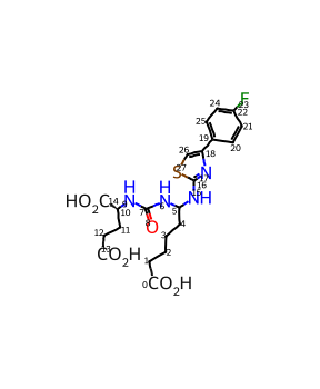 O=C(O)CCCCC(NC(=O)N[C@@H](CCC(=O)O)C(=O)O)Nc1nc(-c2ccc(F)cc2)cs1